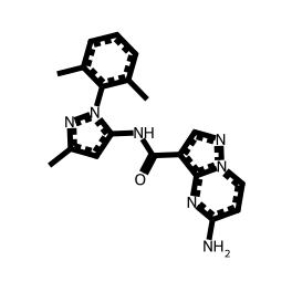 Cc1cc(NC(=O)c2cnn3ccc(N)nc23)n(-c2c(C)cccc2C)n1